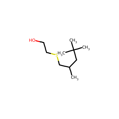 CC(CSCCO)CC(C)(C)C